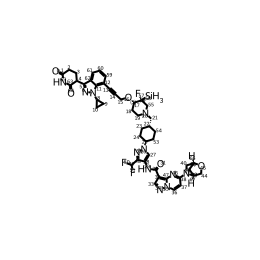 O=C1CCC(c2nn(C3CC3)c3c(C#CCO[C@H]4CCN(C[C@H]5CC[C@H](n6cc(NC(=O)c7cnn8ccc(N9C[C@H]%10C[C@@H]9CO%10)nc78)c(C(F)F)n6)CC5)C[C@]4(F)[SiH3])cccc23)C(=O)N1